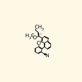 CC/C=C(\OC)c1ccc2cccc(-c3c(Cl)cccc3C#N)c2c1